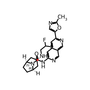 Cc1ncc(-c2cc3cc(NC(=O)N4[C@@H]5CC[C@H]4C[C@H](NCC(F)F)C5)ncc3cn2)o1